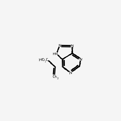 C=CC(=O)O.c1ncc2[nH]nnc2n1